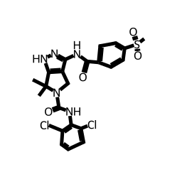 CC1(C)c2[nH]nc(NC(=O)c3ccc(S(C)(=O)=O)cc3)c2CN1C(=O)Nc1c(Cl)cccc1Cl